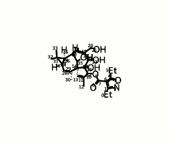 CCc1noc(CC)c1C(=O)O[C@H]1C(C)=C[C@]23C(O)[C@@H](C=C(CO)[C@@H](O)[C@]12O)[C@H]1[C@@H](C[C@H]3C)C1(C)C